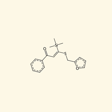 C[Si](C)(C)/C(=C\C(=O)c1ccccc1)SCc1ccco1